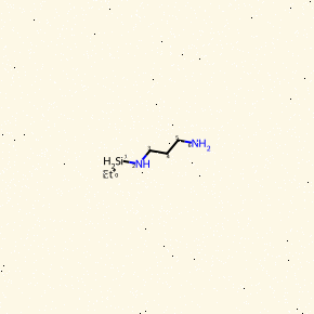 CC[SiH2]NCCCN